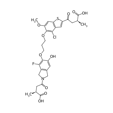 COc1cc2sc(C(=O)C[C@H](C)C(=O)O)cc2c(Cl)c1OCCCOc1c(O)cc2c(c1F)CN(C(=O)C[C@H](C)C(=O)O)C2